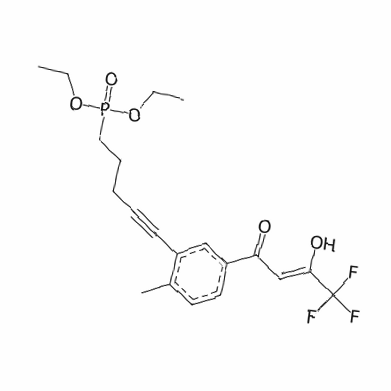 CCOP(=O)(CCCC#Cc1cc(C(=O)/C=C(\O)C(F)(F)F)ccc1C)OCC